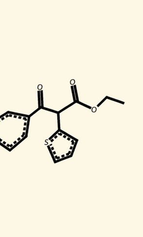 CCOC(=O)C(C(=O)c1ccccc1)c1cccs1